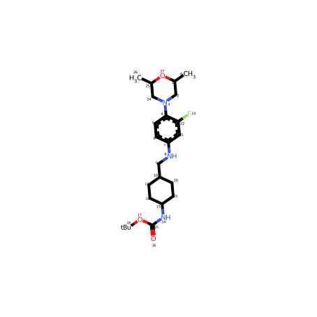 CC1CN(c2ccc(NCC3CCC(NC(=O)OC(C)(C)C)CC3)cc2F)CC(C)O1